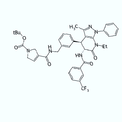 CCN1C(=O)[C@H](NC(=O)c2cccc(C(F)(F)F)c2)[C@@H](c2cccc(CNC(=O)C3=CCN(C(=O)OC(C)(C)C)C3)c2)c2c(C)nn(-c3ccccc3)c21